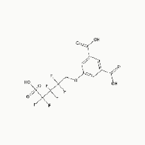 O=C(O)c1cc(OCC(F)(F)C(F)(F)C(F)(F)S(=O)(=O)O)cc(C(=O)O)c1